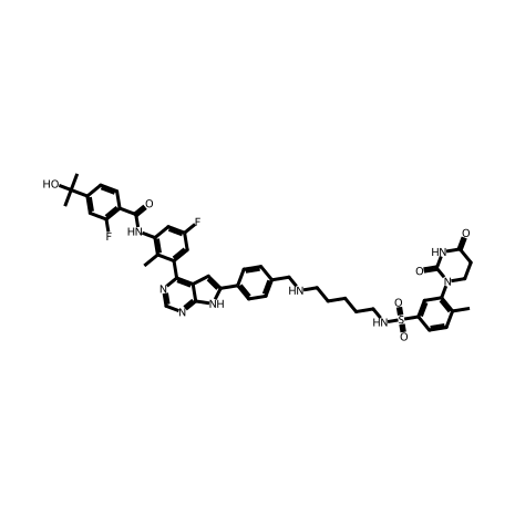 Cc1ccc(S(=O)(=O)NCCCCCNCc2ccc(-c3cc4c(-c5cc(F)cc(NC(=O)c6ccc(C(C)(C)O)cc6F)c5C)ncnc4[nH]3)cc2)cc1N1CCC(=O)NC1=O